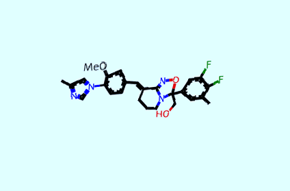 COc1cc(/C=C2\CCCN3C2=NOC3(CO)c2cc(C)c(F)c(F)c2)ccc1-n1cnc(C)c1